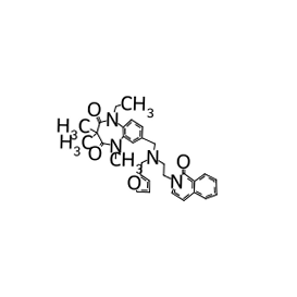 CCN1C(=O)C(C)(C)C(=O)N(C)c2cc(CN(CCn3ccc4ccccc4c3=O)Cc3ccco3)ccc21